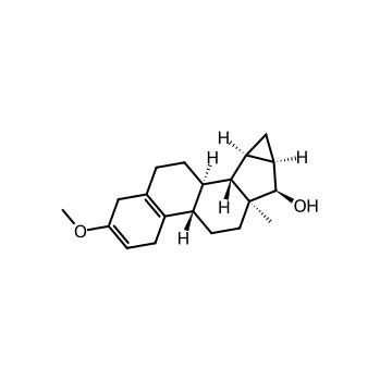 COC1=CCC2=C(CC[C@H]3[C@@H]4[C@H]5C[C@H]5[C@@H](O)[C@@]4(C)CC[C@H]23)C1